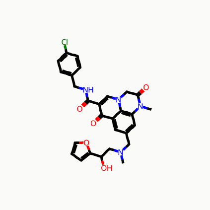 CN(Cc1cc2c3c(c1)c(=O)c(C(=O)NCc1ccc(Cl)cc1)cn3CC(=O)N2C)CC(O)c1ccco1